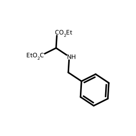 CCOC(=O)C(NCc1ccccc1)C(=O)OCC